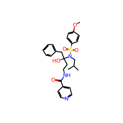 COc1ccc(S(=O)(=O)N(CC(C)C)C(O)(CCNC(=O)c2ccncc2)Cc2ccccc2)cc1